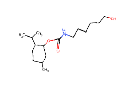 CC1CCC(C(C)C)C(OC(=O)NCCCCCCO)C1